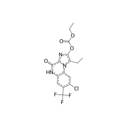 CCOC(=O)Oc1nc2c(=O)[nH]c3cc(C(F)(F)F)c(Cl)cc3n2c1CC